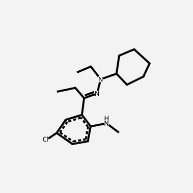 CC/C(=N\N(CC)C1CCCCC1)c1cc(Cl)ccc1NC